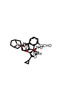 CN/C(=N\OC=O)c1ccc(N2C3CCC2CC(OCc2c(-c4c(Cl)cccc4Cl)noc2C2CC2)C3)nc1